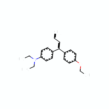 C=CC=C(c1ccc(OCC)cc1)c1ccc(N(CC)CC)cc1